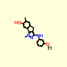 CCOc1cccc(Nc2nn(C)c3c2Cc2cc(C)c(O)cc2-3)c1